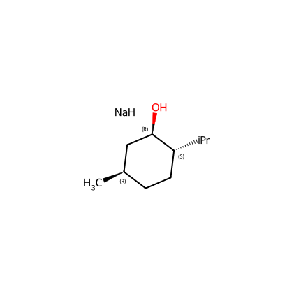 CC(C)[C@@H]1CC[C@@H](C)C[C@H]1O.[NaH]